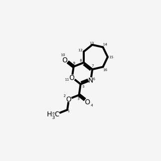 CCOC(=O)c1nc2c(c(=O)o1)CCCCC2